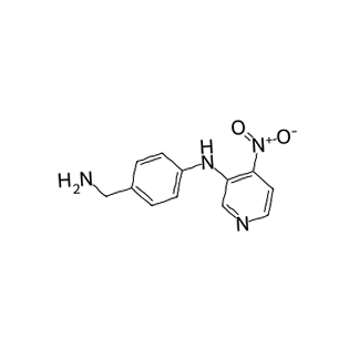 NCc1ccc(Nc2cnccc2[N+](=O)[O-])cc1